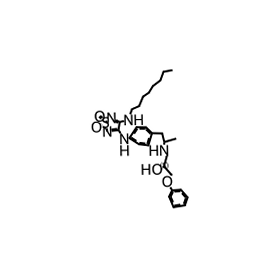 CCCCCCCCNC1=NS(=O)(=O)N=C1Nc1ccc(CC(C)NC[C@H](O)COc2ccccc2)cc1